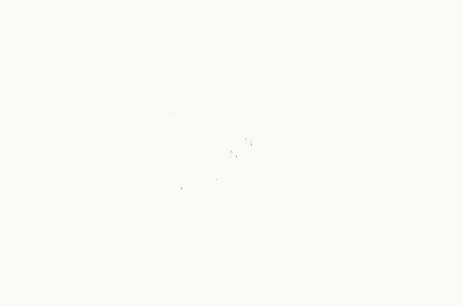 CC1(C)CCN(N2C(=O)C(C)(C)c3c(-c4ccccc4)c(F)c(O)c(F)c32)CC1